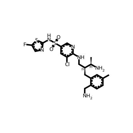 Cc1ccc(CN)c(C[C@@H](CNc2ncc(S(=O)(=O)Nc3ncc(F)s3)cc2Cl)[C@@H](C)N)c1